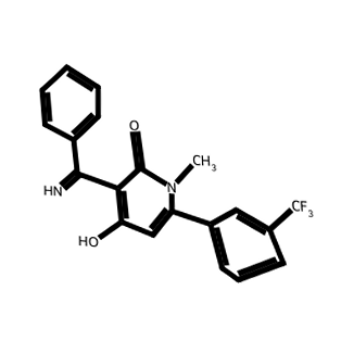 Cn1c(-c2cccc(C(F)(F)F)c2)cc(O)c(C(=N)c2ccccc2)c1=O